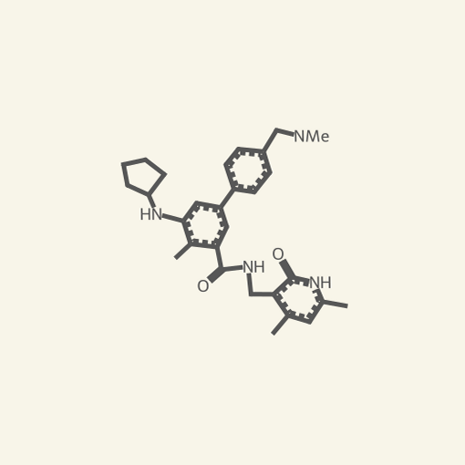 CNCc1ccc(-c2cc(NC3CCCC3)c(C)c(C(=O)NCc3c(C)cc(C)[nH]c3=O)c2)cc1